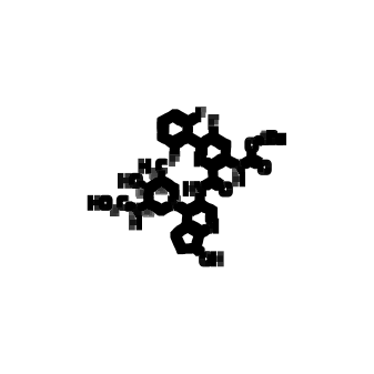 C[C@H]1CN(c2c(NC(=O)c3nc(-c4c(F)cccc4F)c(F)cc3NC(=O)OC(C)(C)C)cnc3c2CCC3O)C[C@@H](NC(=O)O)[C@@H]1O